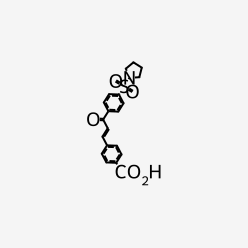 O=C(O)c1ccc(C=CC(=O)c2ccc(S(=O)(=O)N3CCCC3)cc2)cc1